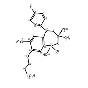 CCCC[C@]1(C)CN(c2ccc(F)cc2)c2cc(SC)c(OCCC(=O)O)cc2S(O)(O)C1